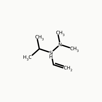 C=C[SiH](C(C)C)N(C)C